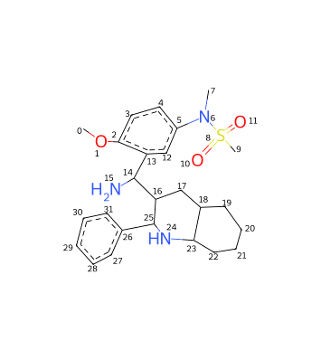 COc1ccc(N(C)S(C)(=O)=O)cc1C(N)C1CC2CCCCC2NC1c1ccccc1